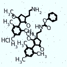 COC1=C(c2c(C)cc(C)cc2C)C(=O)C(CCN)C1.COC1=C(c2c(C)cc(C)cc2C)C(=O)CC1CCNC(=O)Oc1ccccc1.Cl